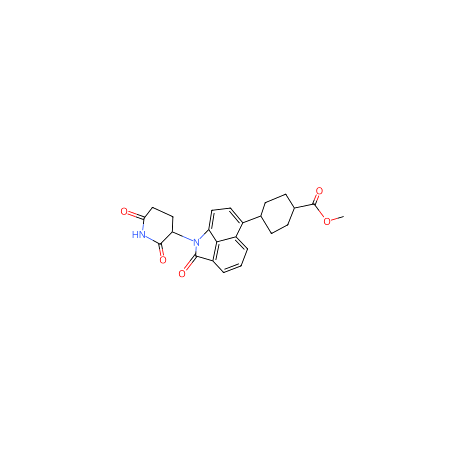 COC(=O)C1CCC(c2ccc3c4c(cccc24)C(=O)N3C2CCC(=O)NC2=O)CC1